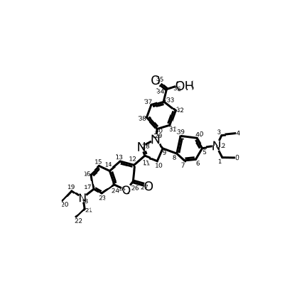 CCN(CC)c1ccc(C2CC(c3cc4ccc(N(CC)CC)cc4oc3=O)=NN2c2ccc(C(=O)O)cc2)cc1